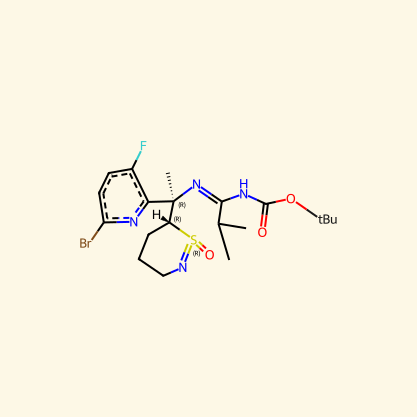 CC(C)(C)OC(=O)NC1=N[C@](C)(c2nc(Br)ccc2F)[C@H]2CCCN=[S@]2(=O)C1(C)C